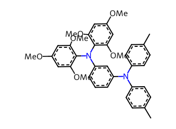 COc1cc(OC)c(N(c2cccc(N(c3ccc(C)cc3)c3ccc(C)cc3)c2)c2c(OC)cc(OC)cc2OC)c(OC)c1